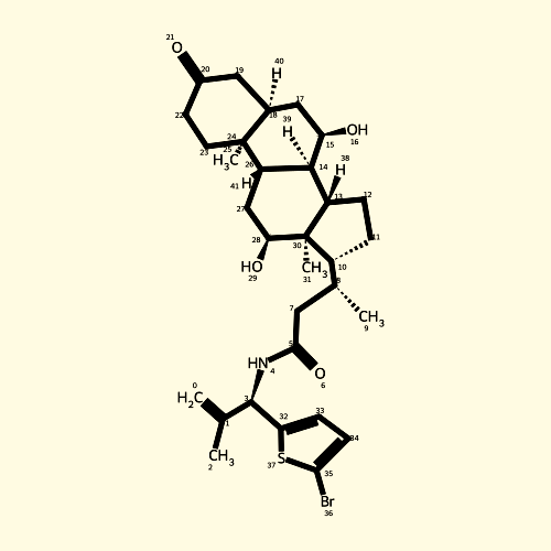 C=C(C)[C@@H](NC(=O)C[C@@H](C)[C@H]1CC[C@H]2[C@@H]3[C@H](O)C[C@@H]4CC(=O)CC[C@]4(C)[C@H]3C[C@H](O)[C@]12C)c1ccc(Br)s1